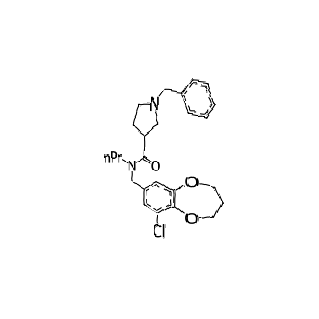 CCCN(Cc1cc(Cl)c2c(c1)OCCCO2)C(=O)C1CCN(Cc2ccccc2)C1